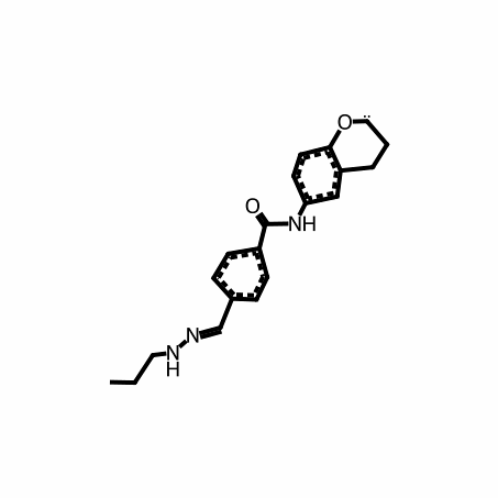 CCCNN=Cc1ccc(C(=O)Nc2ccc3c(c2)CC[C]O3)cc1